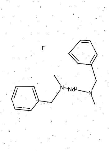 C[N](Cc1ccccc1)[Nd+][N](C)Cc1ccccc1.[F-]